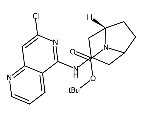 CC(C)(C)OC(=O)N1C2CC[C@H]1CC(Nc1nc(Cl)cc3ncccc13)C2